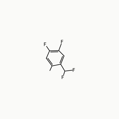 Cc1cc(F)c(F)cc1C(F)F